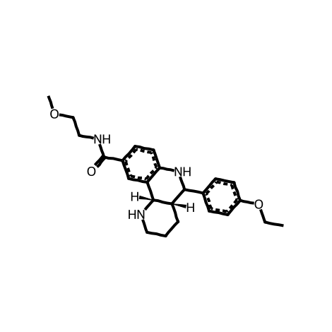 CCOc1ccc(C2Nc3ccc(C(=O)NCCOC)cc3[C@H]3NCCC[C@@H]23)cc1